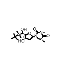 CN1CN([C@H]2C[C@H](O)[C@@H](C(O)[Si](C)(C)C(C)(C)C)O2)C(=O)NC1=O